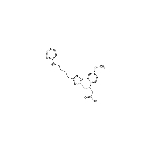 COc1ccc(C(CC(=O)O)Cc2nc(CCCCNc3ccccn3)no2)cc1